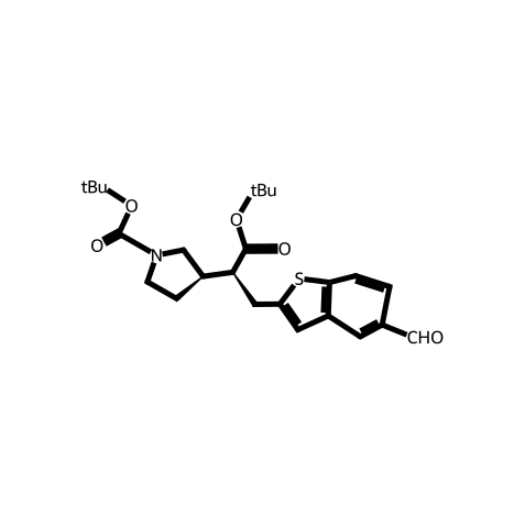 CC(C)(C)OC(=O)[C@@H](Cc1cc2cc(C=O)ccc2s1)[C@H]1CCN(C(=O)OC(C)(C)C)C1